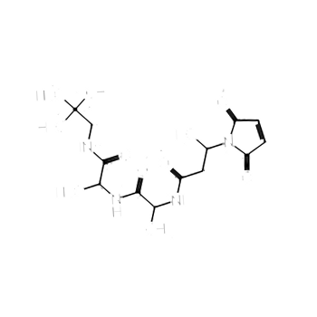 CC(NC(=O)CC(C)N1C(=O)C=CC1=O)C(=O)NC(C)C(=O)NCC(C)(C)C